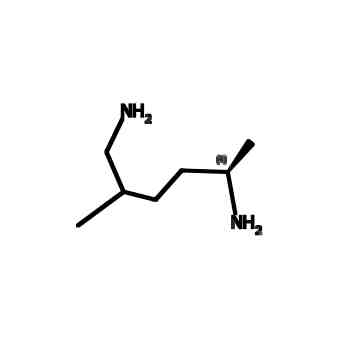 CC(CN)CC[C@@H](C)N